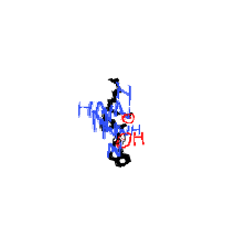 C=C(NC[C@H](O)CN1CCc2ccccc2C1)c1cc(NC(CCCCC2CC2)CNC(C)=O)ncn1